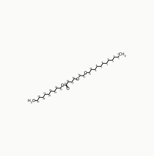 CCCCCCCCCCCCOCCOCCCC(=O)OCCCCCCCCCC